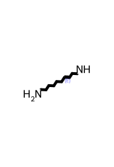 N=CC/C=C/CCCCCCN